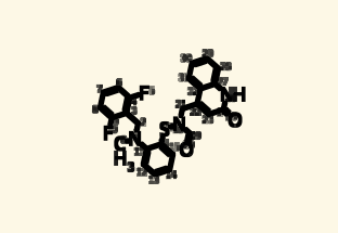 CN(Cc1c(F)cccc1F)c1ccccc1SN(C=O)Cc1cc(=O)[nH]c2ccccc12